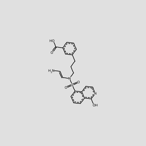 NC=CN(CCCc1cccc(C(=O)O)c1)S(=O)(=O)c1cccc2c(O)nccc12